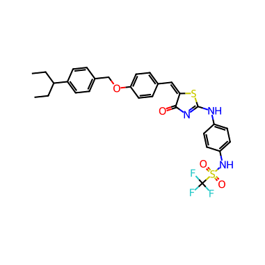 CCC(CC)c1ccc(COc2ccc(C=C3SC(Nc4ccc(NS(=O)(=O)C(F)(F)F)cc4)=NC3=O)cc2)cc1